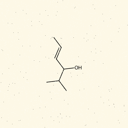 [CH2]/C=C/C(O)C(C)C